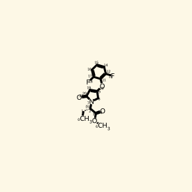 CC[C@@H](C(=O)OC)N1CC(Oc2c(F)cccc2F)=CC1=O